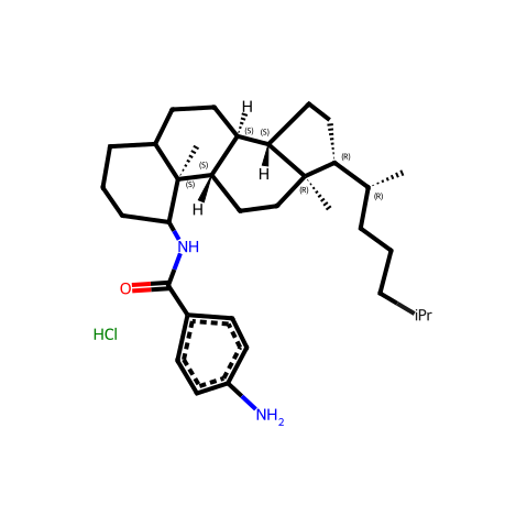 CC(C)CCC[C@@H](C)[C@H]1CC[C@H]2[C@@H]3CCC4CCCC(NC(=O)c5ccc(N)cc5)[C@]4(C)[C@H]3CC[C@]12C.Cl